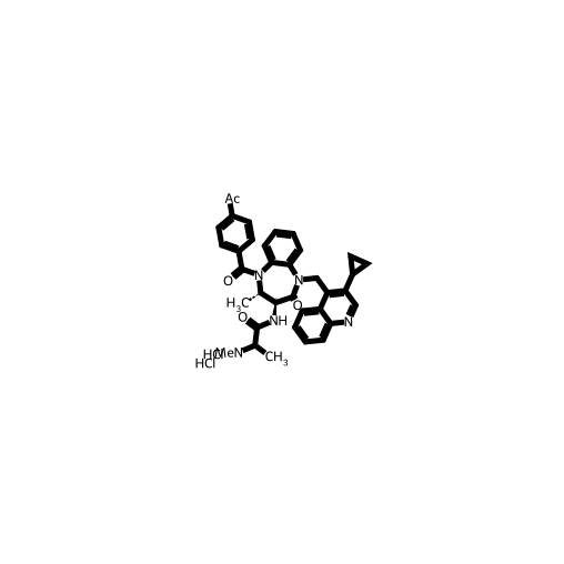 CNC(C)C(=O)N[C@@H]1C(=O)N(Cc2c(C3CC3)cnc3ccccc23)c2ccccc2N(C(=O)c2ccc(C(C)=O)cc2)[C@H]1C.Cl.Cl